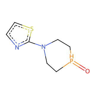 O=[PH]1CCN(c2nccs2)CC1